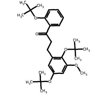 COc1cc(OC(C)(C)C)cc(CCC(=O)c2ccccc2OC(C)(C)C)c1OC(C)(C)C